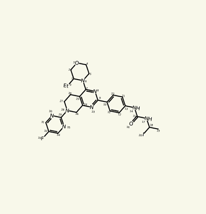 CCC1COCCN1c1nc(-c2ccc(NC(=O)NC(C)I)cc2)nc2c1CCN(c1ncc(F)cn1)C2